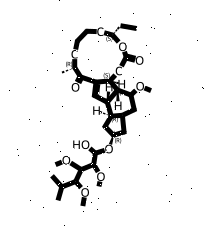 CC[C@H]1CCCC[C@@H](C)C(=O)C2=C[C@@H]3[C@@H](C(OC)CC4C[C@@H](OC(O)C(OC)C(OC)C(OC)C(C)C)C[C@H]43)[C@@H]2CC(=O)O1